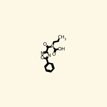 CCCN(C(=O)O)C(=O)c1noc(-c2ccccc2)n1